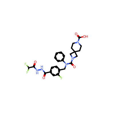 O=C(NNC(=O)C(F)F)c1ccc(CN(C(=O)N2CC3(CCN(C(=O)O)CC3)C2)c2ccccc2)c(F)c1